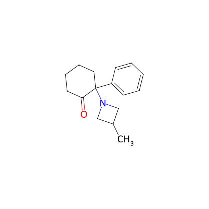 CC1CN(C2(c3ccccc3)CCCCC2=O)C1